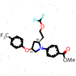 COC(=O)c1ccc(N2C[C@@H](Oc3ccc(C(F)(F)F)cc3)C[C@H]2CCOC(F)F)cc1